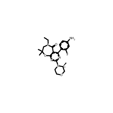 CCN1CC(C)(C)Oc2nc(N3CCOC[C@@H]3C)nc(-c3ccc(N)cc3F)c2C1=O